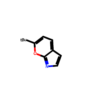 CC(C)(C)c1ccc2ccnc-2o1